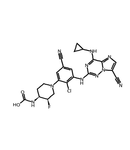 N#Cc1cc(Nc2nc(NC3CC3)c3ncc(C#N)n3n2)c(Cl)c(N2CC[C@H](NC(=O)O)[C@H](F)C2)c1